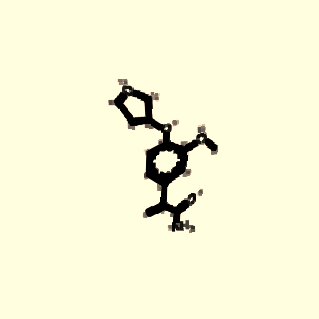 C=C(C(N)=O)c1ccc(OC2CCOC2)c(OC)c1